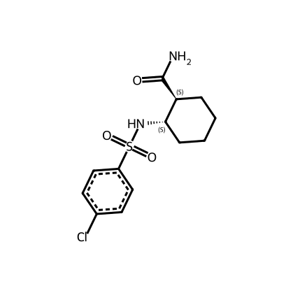 NC(=O)[C@H]1CCCC[C@@H]1NS(=O)(=O)c1ccc(Cl)cc1